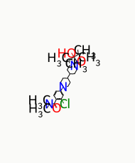 CC(C)C(O)(C(=O)N1CCC(C2CCN(c3ccc(C(=O)N(C)C)c(Cl)c3)CC2)CC1)C(C)C